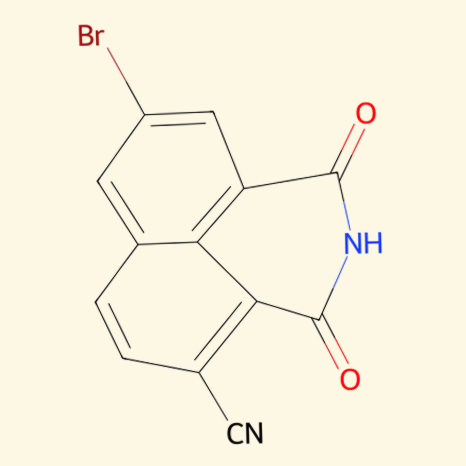 N#Cc1ccc2cc(Br)cc3c2c1C(=O)NC3=O